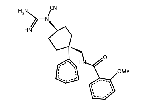 COc1ccccc1C(=O)NC[C@]1(c2ccccc2)CC[C@H](N(C#N)C(=N)N)CC1